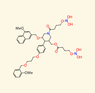 COc1ccccc1COCCCOc1ccc(C2C(COC(=O)CCCON(O)O)CN(C(=O)CCCON(O)O)CC2OCc2cc(OC)c3ccccc3c2)cc1